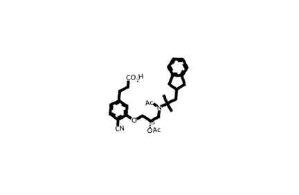 CC(=O)O[C@H](COc1cc(CCC(=O)O)ccc1C#N)CN(C(C)=O)C(C)(C)CC1Cc2ccccc2C1